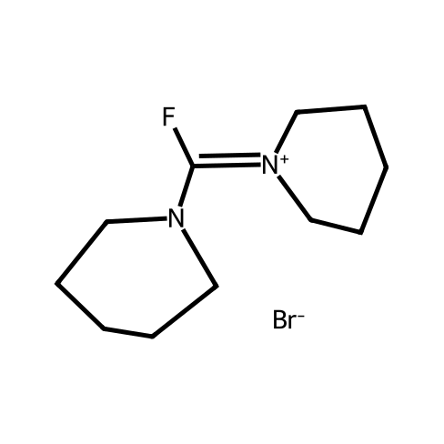 FC(N1CCCCC1)=[N+]1CCCCC1.[Br-]